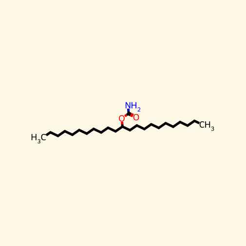 CCCCCCCCCCCC(CCCCCCCCCCC)OC(N)=O